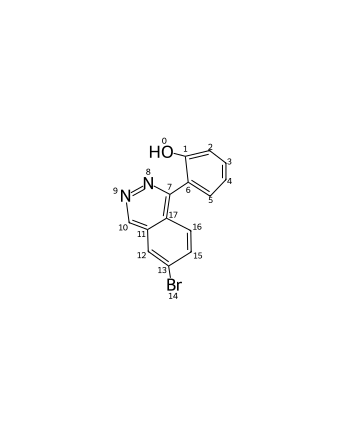 Oc1ccccc1-c1nncc2cc(Br)ccc12